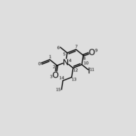 C=CC(=O)n1c(C)cc(=O)c(I)c1CCC